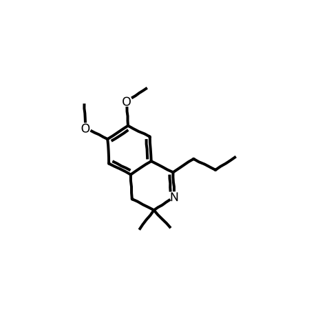 CCCC1=NC(C)(C)Cc2cc(OC)c(OC)cc21